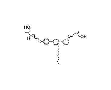 C=C(CO)CCOc1cccc(-c2ccc(-c3ccc(OCCOC(=O)C(=C)CO)cc3)cc2CCCCCCC)c1